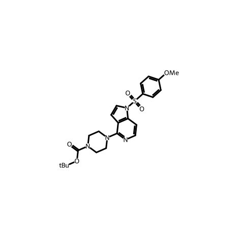 COc1ccc(S(=O)(=O)n2ccc3c(N4CCN(C(=O)OC(C)(C)C)CC4)nccc32)cc1